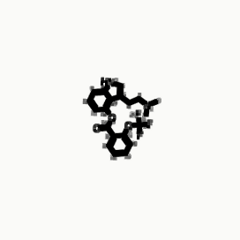 CN(C)CCc1c[nH]c2cccc(OC(=O)c3ccccc3OC(F)(F)F)c12